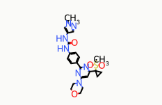 Cn1cc(NC(=O)Nc2ccc(-c3nc(N4CCOCC4)cc(C4(S(C)(=O)=O)CC4)n3)cc2)cn1